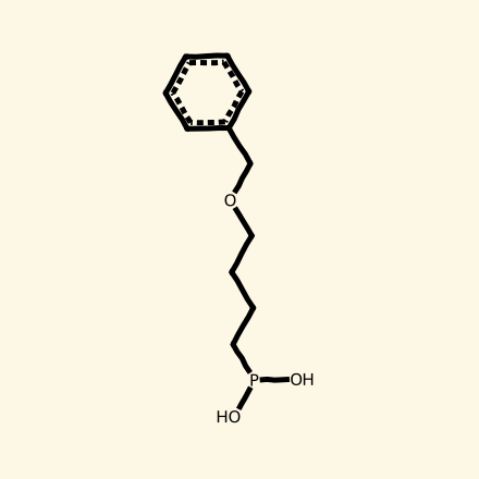 OP(O)CCCCOCc1ccccc1